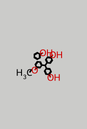 CCOc1cccc(C(c2ccc(O)cc2)c2ccc(O)cc2)c1.Oc1ccccc1